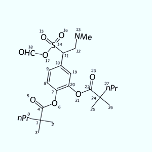 CCCC(C)(C)C(=O)Oc1ccc(C(CNC)S(=O)(=O)OC=O)cc1OC(=O)C(C)(C)CCC